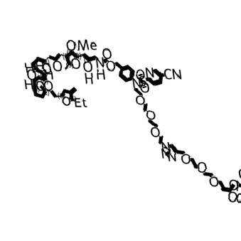 C=C1C[C@H](CC[C@]23CC[C@H](O2)C2C[C@@H](O3)[C@H]3O[C@@H](CC(=O)C[C@@H]4[C@@H](OC)[C@@H](C[C@H](O)CNC(=O)OCc5ccc(N(CCOCCOCCOCCn6cc(COCCOCCOCCC(=O)ON7C(=O)CCC7=O)nn6)S(=O)(=O)c6ccc(C#N)cn6)cc5)O[C@H]4C)CC[C@@H]3O2)O[C@H]1CC